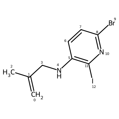 C=C(C)CNc1ccc(Br)nc1I